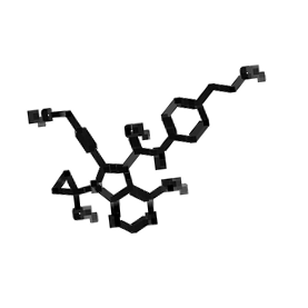 C=C(Nc1ccc(CCC)cc1)c1c(C#CCC)n(C2(C)CC2)c2ncnc(N)c12